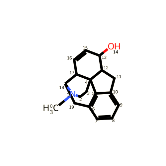 CN1CCC23c4c5cccc4CC2C(O)C=CC3C1C5